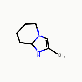 CC1=CN2CCCCC2N1